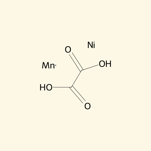 O=C(O)C(=O)O.[Mn].[Ni]